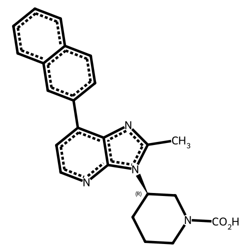 Cc1nc2c(-c3ccc4ccccc4c3)ccnc2n1[C@@H]1CCCN(C(=O)O)C1